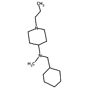 CCCN1CCC(N(C)CC2CCCCC2)CC1